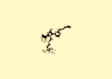 CC1(c2nc(Br)c(-c3ccnc(NCCC#N)n3)n2COCC[Si](C)(C)C)CC1